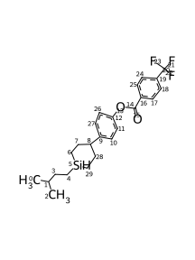 CC(C)CC[SiH]1CCC(c2ccc(OC(=O)c3ccc(C(F)(F)F)cc3)cc2)CC1